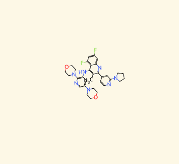 Cc1c(-c2ccnc(N3CCCC3)c2)nc2cc(F)cc(F)c2c1Nc1cc(N2CCOCC2)cnc1N1CCOCC1